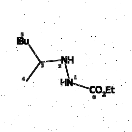 CCOC(=O)NNC(C)C(C)CC